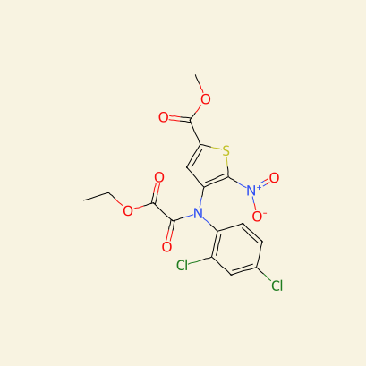 CCOC(=O)C(=O)N(c1ccc(Cl)cc1Cl)c1cc(C(=O)OC)sc1[N+](=O)[O-]